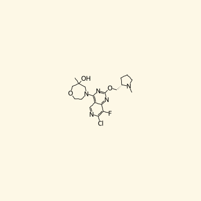 CN1CCC[C@H]1COc1nc(N2CCOCC(C)(O)C2)c2cnc(Cl)c(F)c2n1